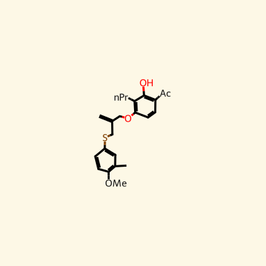 C=C(COc1ccc(C(C)=O)c(O)c1CCC)CSc1ccc(OC)c(C)c1